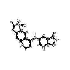 CC1=Cc2cc3nccc(Nc4cnc5snc(C)c5c4)c3cc2S1(=O)=O